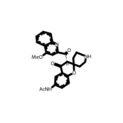 COc1cc(C(=O)[C@H]2C(=O)c3cc(NC(C)=O)ccc3OC23CCNCC3)nc2ccccc12